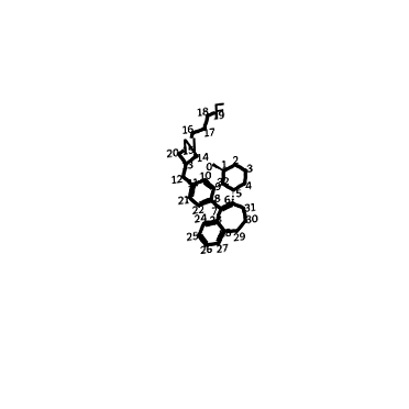 C[C@H]1CCC[C@H](C2=C(c3ccc(CC4CN(CCCF)C4)cc3)c3ccccc3CCC2)C1